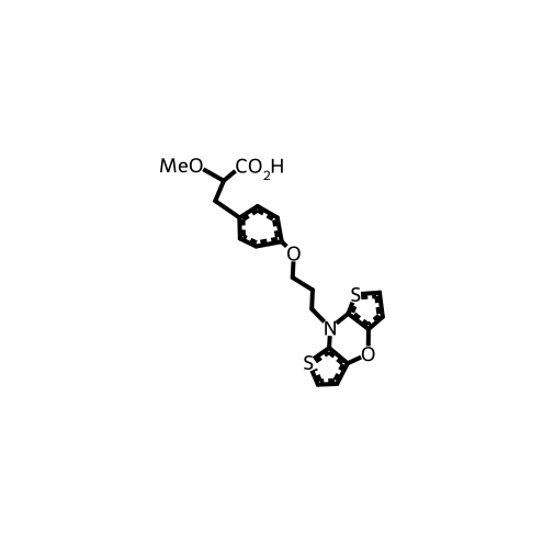 COC(Cc1ccc(OCCCN2c3sccc3Oc3ccsc32)cc1)C(=O)O